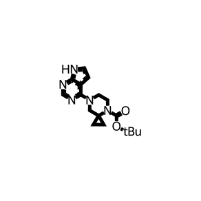 CC(C)(C)OC(=O)N1CCN(c2ncnc3[nH]ccc23)CC12CC2